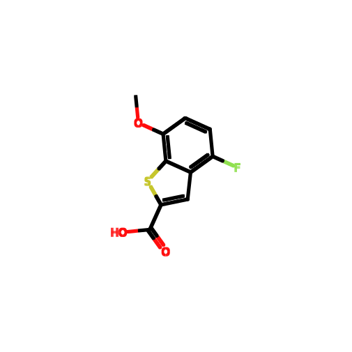 COc1ccc(F)c2cc(C(=O)O)sc12